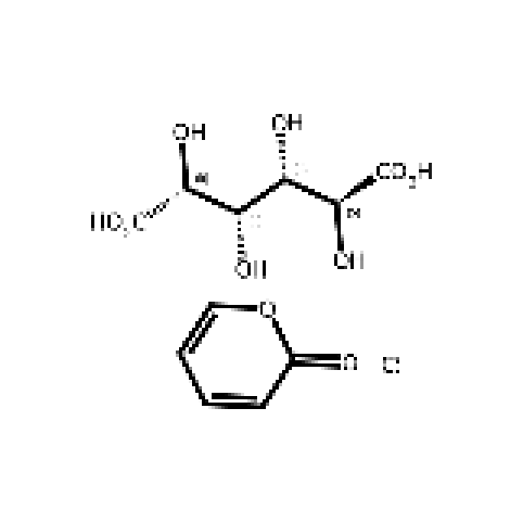 O=C(O)[C@@H](O)[C@@H](O)[C@H](O)[C@@H](O)C(=O)O.O=c1cccco1.[C]